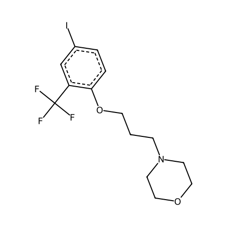 FC(F)(F)c1cc(I)ccc1OCCCN1CCOCC1